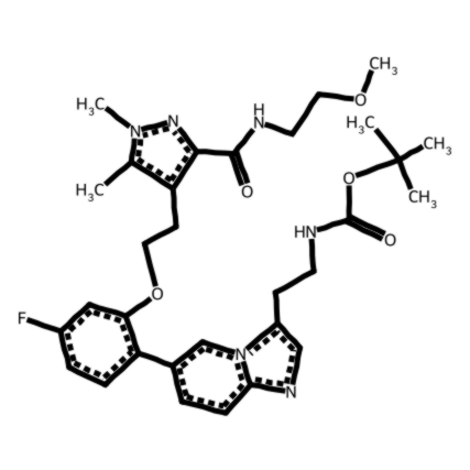 COCCNC(=O)c1nn(C)c(C)c1CCOc1cc(F)ccc1-c1ccc2ncc(CCNC(=O)OC(C)(C)C)n2c1